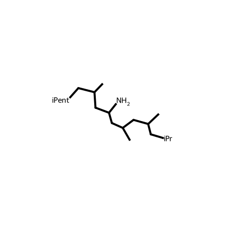 CCCC(C)CC(C)CC(N)CC(C)CC(C)CC(C)C